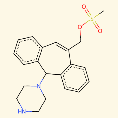 CS(=O)(=O)OCC1=Cc2ccccc2C(N2CCNCC2)c2ccccc21